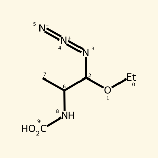 CCOC(N=[N+]=[N-])C(C)NC(=O)O